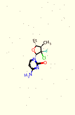 CC[C@H]1O[C@@H](n2ccc(N)nc2=O)[C@@](F)(Cl)[C@@H]1C